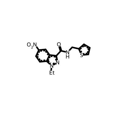 CCn1nc(C(=O)NCc2cccs2)c2cc([N+](=O)[O-])ccc21